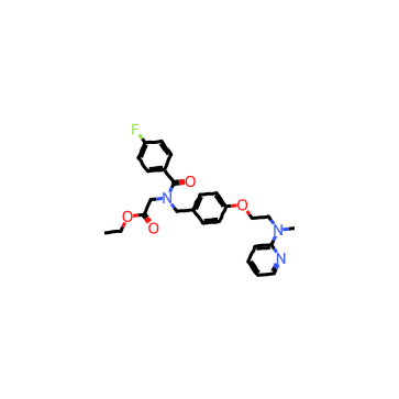 CCOC(=O)CN(Cc1ccc(OCCN(C)c2ccccn2)cc1)C(=O)c1ccc(F)cc1